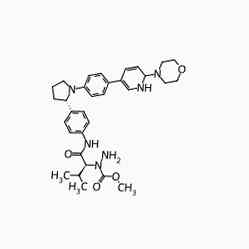 COC(=O)N(N)[C@H](C(=O)Nc1ccc([C@@H]2CCCN2c2ccc(C3=CNC(N4CCOCC4)C=C3)cc2)cc1)C(C)C